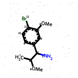 COc1cc(C(N)C(C)OC)ccc1Br